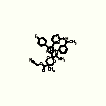 CC(Nc1nccc(-c2[nH]c(C3(C(N)=O)OCC(C)(C(=O)OCC#N)CO3)nc2-c2ccc(F)cc2)n1)c1ccccc1